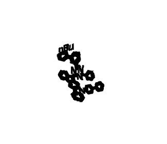 CCCCc1cccc(-c2cccc(-c3nc(-c4ccccc4)nc(C4c5ccccc5-c5cc6c7ccccc7n(-c7ccc(-c8ccccc8)cc7)c6cc54)n3)c2)c1